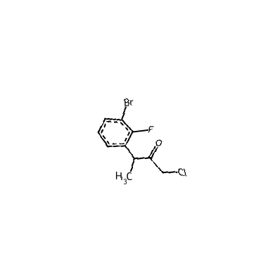 CC(C(=O)CCl)c1cccc(Br)c1F